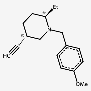 C#C[C@@H]1CC[C@@H](CC)N(Cc2ccc(OC)cc2)C1